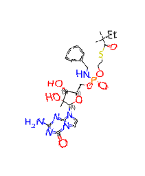 CCC(C)(C)C(=O)SCCOP(=O)(NCc1ccccc1)OC[C@H]1O[C@@H](n2ccn3c(=O)nc(N)nc23)C(C)(O)[C@H]1O